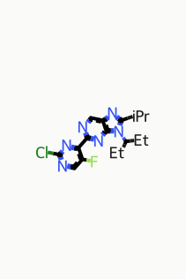 CCC(CC)n1c(C(C)C)nc2cnc(-c3nc(Cl)ncc3F)nc21